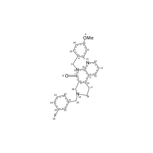 COc1ccc(Cn2c(=O)c3c(c4cccnc42)CCN(Cc2cccc(F)c2)C3)cc1